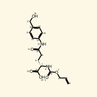 C=CCOC(=O)N[C@@H](CCC(=O)Nc1ccc(CO)cc1)C(=O)O